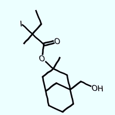 CCC(C)(I)C(=O)OC1(C)CC2CCCC(CO)(C2)C1